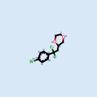 FC(F)(CC1COCCO1)c1ccc(Br)cc1